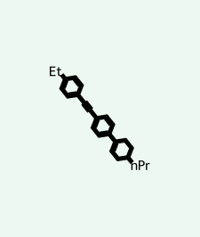 CCCC1CC=C(c2ccc(C#Cc3ccc(CC)cc3)cc2)CC1